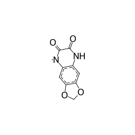 O=C1[N]c2cc3c(cc2NC1=O)OCO3